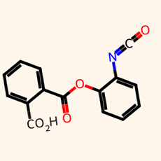 O=C=Nc1ccccc1OC(=O)c1ccccc1C(=O)O